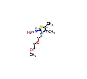 Br.COCCOCCn1c(C)c(C)sc1=N